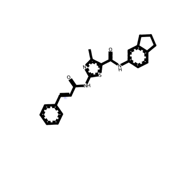 Cc1nc(NC(=O)/C=C/c2ccccc2)sc1C(=O)Nc1ccc2c(c1)CCC2